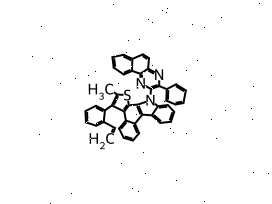 C=Cc1ccccc1-c1c(C)sc2c1c1ccccc1c1c3ccccc3n(-c3nc4c(ccc5ccccc54)nc3-c3ccccc3)c21